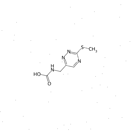 CSc1ncc(CNC(=O)O)nn1